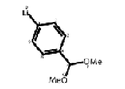 [Li][c]1ccc(C(OC)OC)cc1